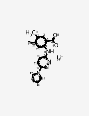 Cc1cc(C(=O)[O-])c(Nc2ccc(-n3ccnc3)nn2)cc1F.[Li+]